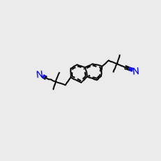 CC(C)(C#N)Cc1ccc2cc(CC(C)(C)C#N)ccc2c1